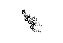 CN1CCN(Cc2cnc(N)c3c(-c4ccc(N(C(N)=O)c5cccc(CN)c5)cc4)csc23)CC1